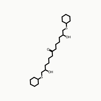 O=C(CCCCC(O)CSC1CCCCC1)CCCCC(O)CSC1CCCCC1